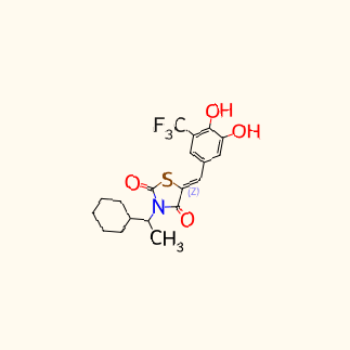 CC(C1CCCCC1)N1C(=O)S/C(=C\c2cc(O)c(O)c(C(F)(F)F)c2)C1=O